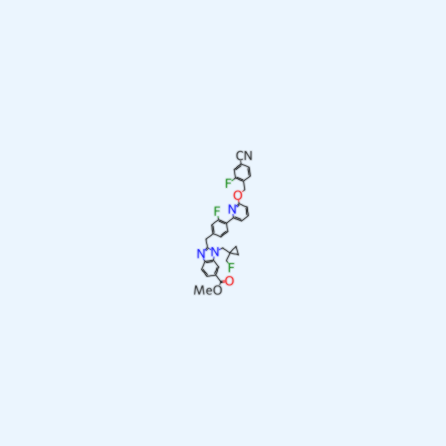 COC(=O)c1ccc2nc(Cc3ccc(-c4cccc(OCc5ccc(C#N)cc5F)n4)c(F)c3)n(CC3(CF)CC3)c2c1